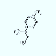 OCC(c1ccc(C(F)(F)F)cc1)C(F)(F)F